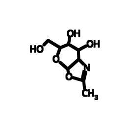 CC1=NC2C(O1)OC(CO)C(O)C2O